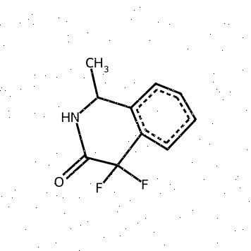 CC1NC(=O)C(F)(F)c2ccccc21